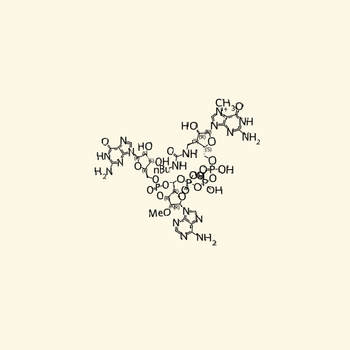 CCCCNC(=O)NC[C@H]1[C@@H](O)[C@H](n2c[n+](C)c3c(=O)[nH]c(N)nc32)O[C@@H]1COP(=O)(O)OP(=O)(O)OP(=O)(O)OC[C@H]1O[C@@H](n2cnc3c(N)ncnc32)[C@H](OC)[C@@H]1OP(=O)([O-])OC[C@H]1O[C@@H](n2cnc3c(=O)[nH]c(N)nc32)[C@H](O)[C@@H]1O